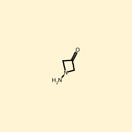 NN1CC(=O)C1